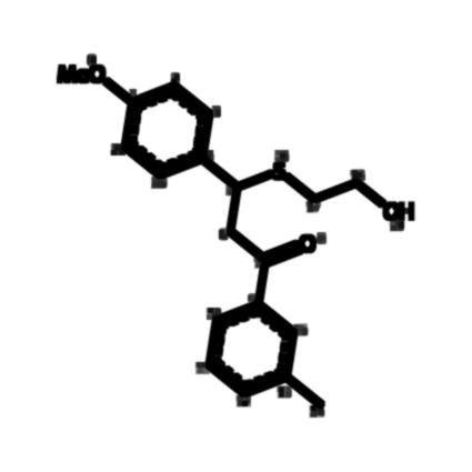 COc1ccc(C(CC(=O)c2cccc(C)c2)SCCO)cc1